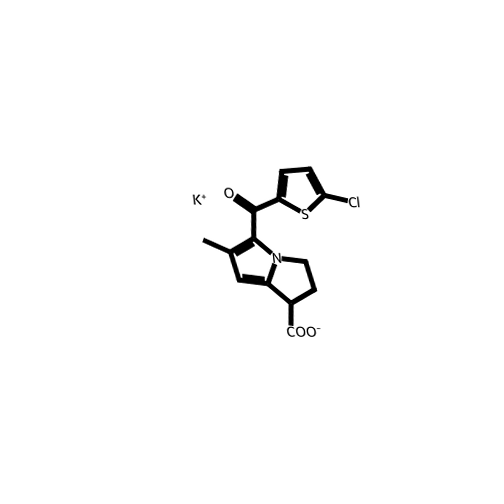 Cc1cc2n(c1C(=O)c1ccc(Cl)s1)CCC2C(=O)[O-].[K+]